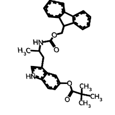 CC(Cc1c[nH]c2ccc(OC(=O)C(C)(C)C)cc12)NC(=O)OCC1c2ccccc2-c2ccccc21